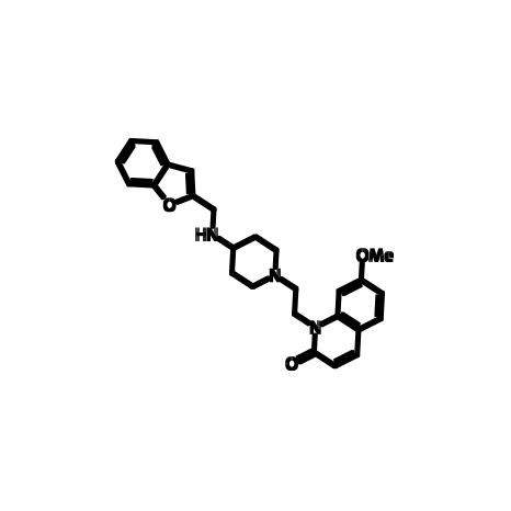 COc1ccc2ccc(=O)n(CCN3CCC(NCc4cc5ccccc5o4)CC3)c2c1